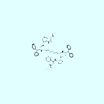 CN[C@@H](C)C(=O)NC(C(=O)N1CCC[C@H]1C(=O)N[C@H](C(=O)NCCCCCCNC(=O)[C@@H](NC(=O)[C@@H]1CCCN1C(=O)[C@H](C)NC(=O)[C@H](C)NC)C(c1ccccc1)c1ccccc1)C(c1ccccc1)c1ccccc1)C1CCCCC1